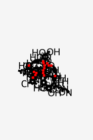 CN[C@H](CC(C)C)C(=O)N[C@H]1C(=O)N[C@@H](CC(N)=O)C(=O)N[C@H]2C(=O)N[C@H]3C(=O)N[C@H](C(=O)N[C@@H](C(=O)NOCC(=O)NC#N)c4cc(O)cc(O)c4-c4cc3ccc4O)[C@H](O)c3ccc(c(Cl)c3)Oc3cc2cc(c3O[C@@H]2O[C@H](CO)[C@@H](O)[C@H](O)[C@H]2O[C@H]2C[C@](C)(NCc3cncc(NC(=O)c4cc(Cl)cc(Cl)c4)c3)[C@H](O)[C@H](C)O2)Oc2ccc(cc2Cl)[C@H]1O